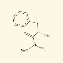 CCCC[C@@H](Cc1ccccc1)C(=O)N(C)OC